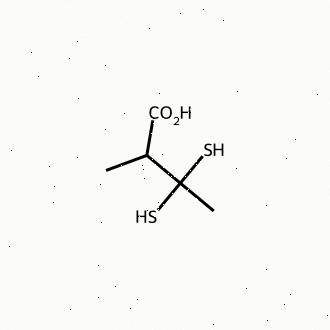 CC(C(=O)O)C(C)(S)S